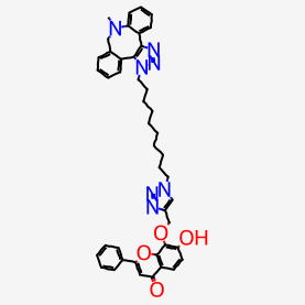 CN1Cc2ccccc2-c2c(nnn2CCCCCCCCCCn2cc(COc3c(O)ccc4c(=O)cc(-c5ccccc5)oc34)nn2)-c2ccccc21